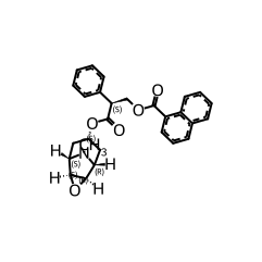 CN1[C@@H]2C[C@@H](OC(=O)[C@H](COC(=O)c3cccc4ccccc34)c3ccccc3)C[C@H]1[C@@H]1O[C@@H]12